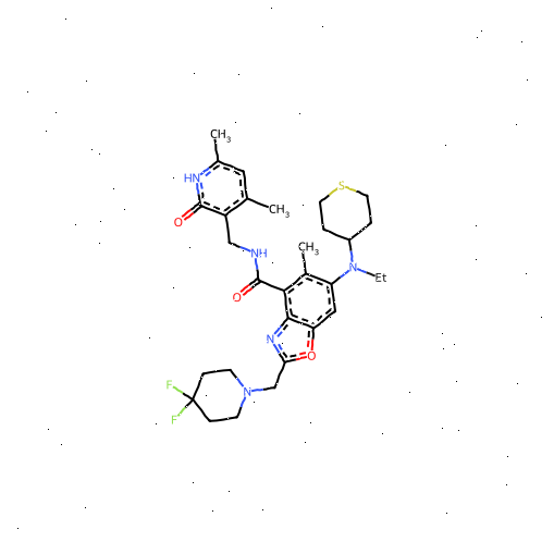 CCN(c1cc2oc(CN3CCC(F)(F)CC3)nc2c(C(=O)NCc2c(C)cc(C)[nH]c2=O)c1C)C1CCSCC1